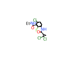 CCNC(=O)c1c(Cl)ccc(NC(=O)C2CC2(Cl)Cl)c1F